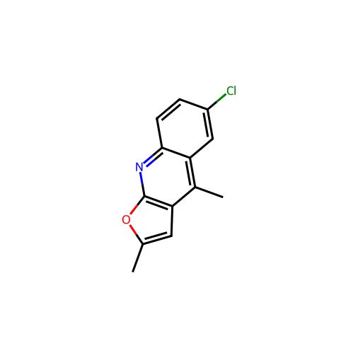 Cc1cc2c(C)c3cc(Cl)ccc3nc2o1